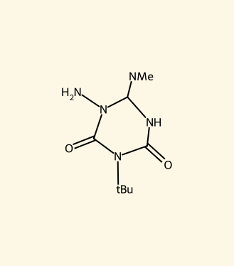 CNC1NC(=O)N(C(C)(C)C)C(=O)N1N